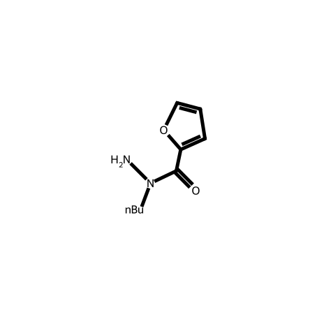 CCCCN(N)C(=O)c1ccco1